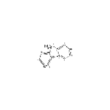 [c]1ccc2c(c1)[SiH2]c1cc[c]cc1-2